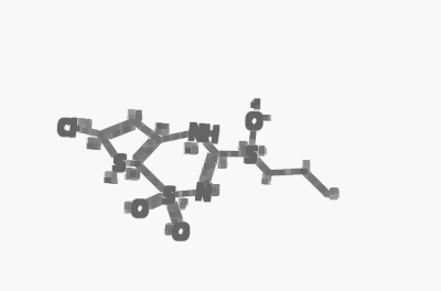 CCC[S+]([O-])C1=NS(=O)(=O)c2sc(Cl)cc2N1